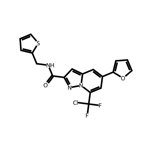 O=C(NCc1cccs1)c1cc2cc(-c3ccco3)cc(C(F)(F)Cl)n2n1